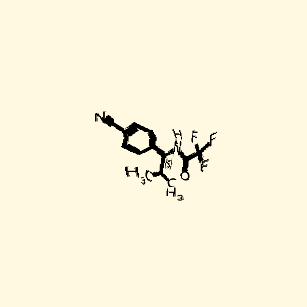 CC(C)[C@H](NC(=O)C(F)(F)F)c1ccc(C#N)cc1